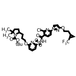 CC(C)(C)OC(=O)N1C(CCCOc2cccc(S(=O)(=O)NC(=O)c3ccc(-n4ccc(OCCC5CC5C(F)(F)F)n4)nc3Cl)n2)CCC1(C)C